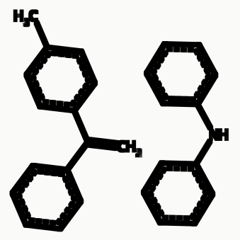 C=C(c1ccccc1)c1ccc(C)cc1.c1ccc(Nc2ccccc2)cc1